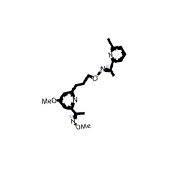 CO/N=C(\C)c1cc(OC)cc(CCCO/N=C(\C)c2cccc(C)n2)n1